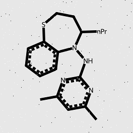 CCCC1CCSc2ccccc2N1Nc1nc(C)cc(C)n1